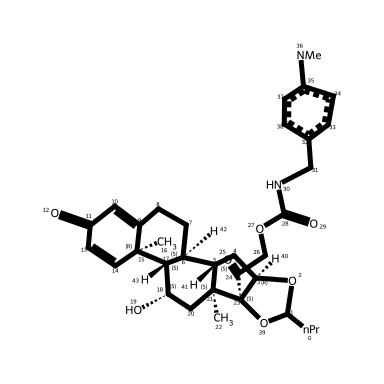 CCCC1O[C@@H]2C[C@H]3[C@@H]4CCC5=CC(=O)C=C[C@]5(C)[C@H]4[C@@H](O)C[C@]3(C)[C@]2(C(=O)COC(=O)NCc2ccc(NC)cc2)O1